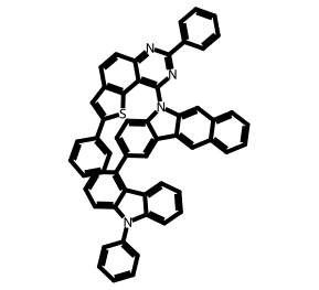 c1ccc(-c2nc(-n3c4ccc(-c5cccc6c5c5ccccc5n6-c5ccccc5)cc4c4cc5ccccc5cc43)c3c(ccc4cc(-c5ccccc5)sc43)n2)cc1